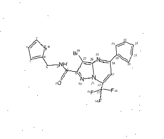 O=C(NCc1cccs1)c1nn2c(C(F)(F)F)cc(-c3ccccc3)nc2c1Br